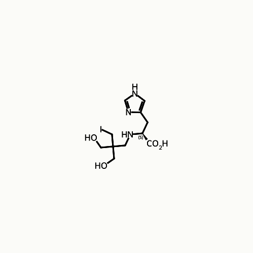 O=C(O)[C@H](Cc1c[nH]cn1)NCC(CO)(CO)CI